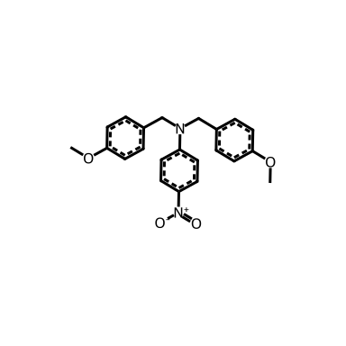 COc1ccc(CN(Cc2ccc(OC)cc2)c2ccc([N+](=O)[O-])cc2)cc1